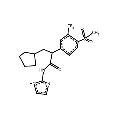 CS(=O)(=O)c1ccc(C(CC2CCCC2)C(=O)Nc2ncc[nH]2)cc1C(F)(F)F